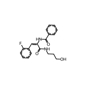 O=C(NCCCO)/C(=C\c1ccccc1F)NC(=O)c1ccccc1